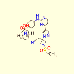 CCS(=O)(=O)N1CC(CC#N)(n2cc(-c3ccnc(Nc4ccc(C(=O)N5[C@@H]6CC[C@H]5C[C@@H](O)C6)cc4)n3)cn2)C1